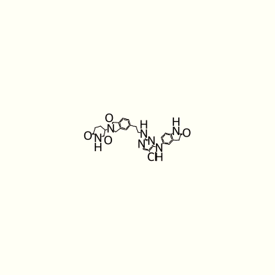 O=C1CCC(N2Cc3cc(CCNc4ncc(Cl)c(Nc5ccc6c(c5)CC(=O)N6)n4)ccc3C2=O)C(=O)N1